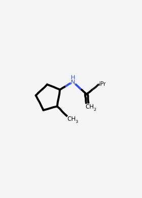 C=C(NC1CCCC1C)C(C)C